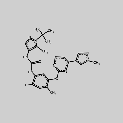 Cc1cc(F)c(NC(=O)Nc2cnn(C(C)(C)C)c2C)cc1Oc1nccc(-c2cnn(C)c2)n1